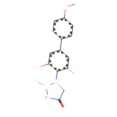 COc1ccc(-c2cc(O)c(N3CC(=O)N[S+]3[O-])c(F)c2)cc1